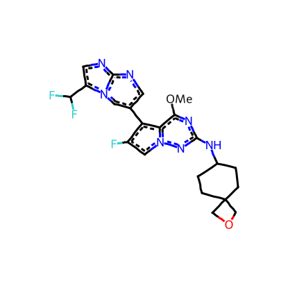 COc1nc(NC2CCC3(CC2)COC3)nn2cc(F)c(-c3cnc4ncc(C(F)F)n4c3)c12